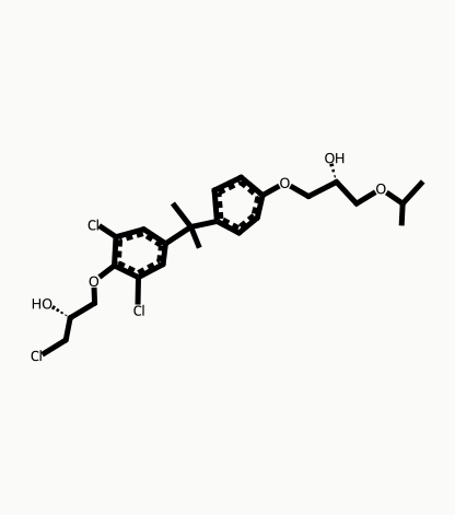 CC(C)OC[C@@H](O)COc1ccc(C(C)(C)c2cc(Cl)c(OC[C@@H](O)CCl)c(Cl)c2)cc1